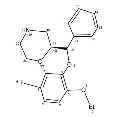 CCOc1ccc(F)cc1OC(c1ccccc1)[C@@H]1CNCCO1